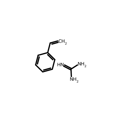 C=Cc1ccccc1.N=C(N)N